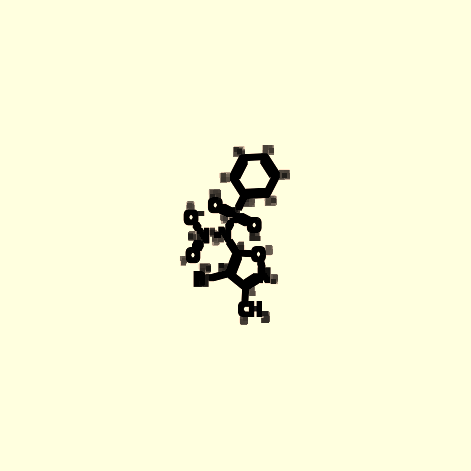 Cc1noc(N([N+](=O)[O-])S(=O)(=O)c2ccccc2)c1Br